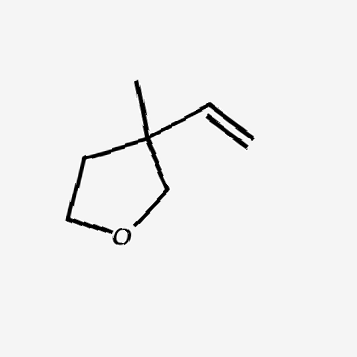 C=CC1(C)CCOC1